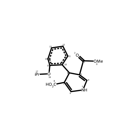 COC(=O)C1=CNC=C(C(=O)O)C1c1ccccc1OC(C)C